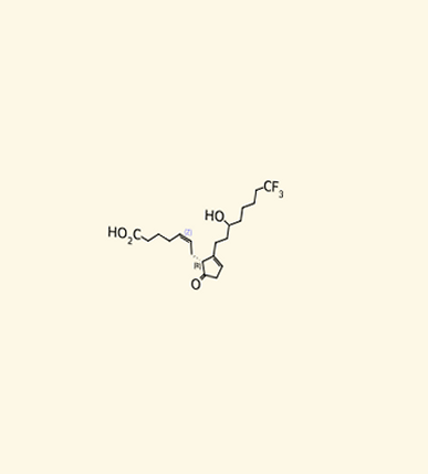 O=C(O)CCC/C=C\C[C@H]1C(=O)CC=C1CCC(O)CCCCC(F)(F)F